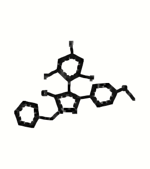 COc1ccc(-c2nn(Cc3ccccc3)c(Cl)c2-c2c(F)cc(F)cc2F)cc1